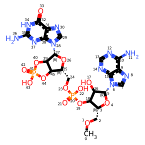 COC[C@H]1O[C@@H](n2cnc3c(N)ncnc32)C(O)C1OP(=O)(O)OC[C@H]1O[C@@H](n2cnc3c(=O)[nH]c(N)nc32)C2OP(=O)(O)OC21